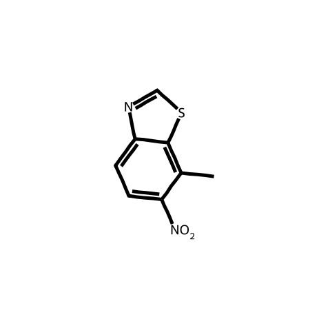 Cc1c([N+](=O)[O-])ccc2ncsc12